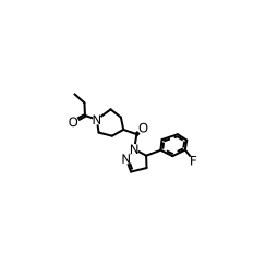 CCC(=O)N1CCC(C(=O)N2N=CCC2c2cccc(F)c2)CC1